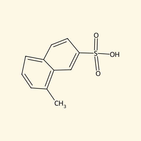 Cc1cccc2ccc(S(=O)(=O)O)cc12